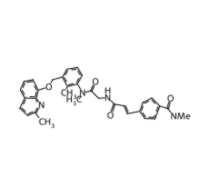 CNC(=O)c1ccc(C=CC(=O)NCC(=O)N(C)c2cccc(COc3cccc4ccc(C)nc34)c2C)cc1